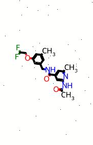 CC(=O)Nc1cc(C(=O)NCc2cc(C)cc(OCC(F)F)c2)cc(C)n1